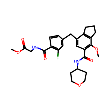 COC(=O)CNC(=O)c1ccc(Cc2cc(C(=O)NC3CCOCC3)c(OC)c3c2CCC3)cc1F